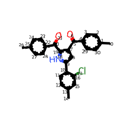 Cc1ccc(C(=O)c2cc(-c3ccc(C)cc3Cl)[nH]c2C(=O)c2ccc(C)cc2)cc1